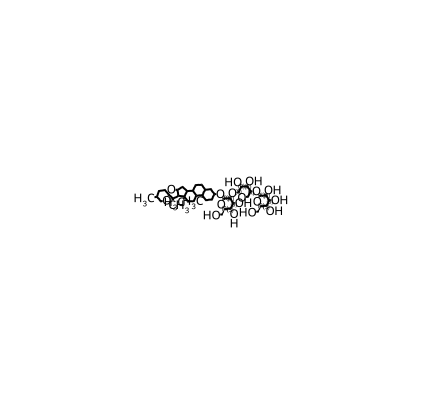 CC1CCC2(OC1)OC1CC3C4CCC5CC(O[C@@H]6O[C@H](CO)[C@@H](O)[C@H](O)[C@H]6O[C@@H]6OC[C@@H](O[C@@H]7O[C@H](CO)[C@@H](O)[C@H](O)[C@H]7O)[C@H](O)[C@H]6O)CCC5(C)C4CCC3(C)C1C2C